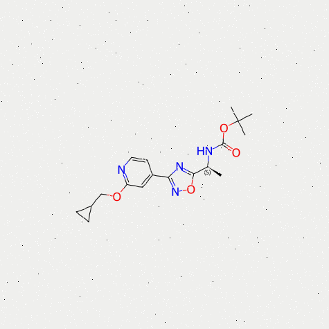 C[C@H](NC(=O)OC(C)(C)C)c1nc(-c2ccnc(OCC3CC3)c2)no1